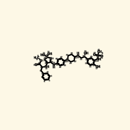 COC(=O)C(Cc1ccccc1)NC1=NS(O)(O)N=C1Nc1ccc(N2CCC(NC[C@H](O)c3ccc(O)c(NS(C)(=O)=O)c3)CC2)cc1